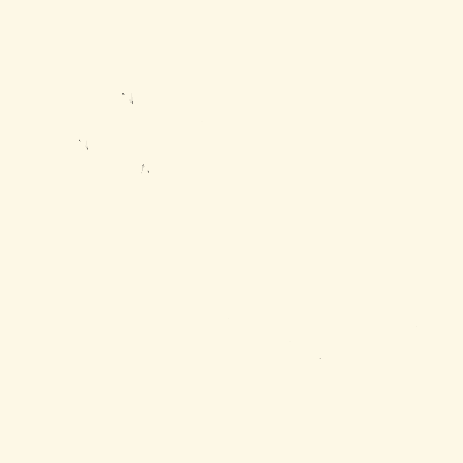 Cc1nc(-c2ccccc2)nc(-c2cccc(-c3cccc(-c4ccc5c(c4)C(C)(C)c4ccccc4-5)c3)c2)n1